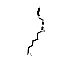 CCCCCC[SH]=C=NN=C=S